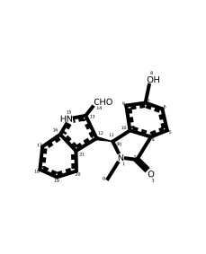 CN1C(=O)c2ccc(O)cc2[C@@H]1c1c(C=O)[nH]c2ccccc12